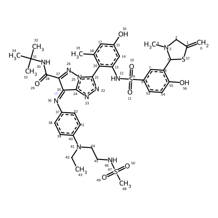 C=C1CN(C)C(c2cc(S(=O)(=O)Nc3cc(O)cc(C)c3-c3nnc4n3N=C(C(=O)NC(C)(C)C)/C4=N/c3ccc(N(CC)CCNS(C)(=O)=O)cc3)ccc2O)S1